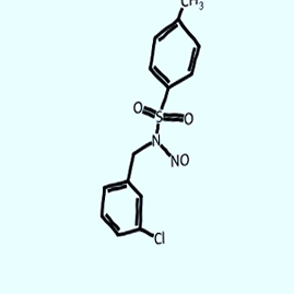 Cc1ccc(S(=O)(=O)N(Cc2cccc(Cl)c2)N=O)cc1